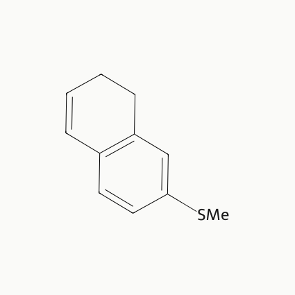 CSc1ccc2c(c1)CCC=C2